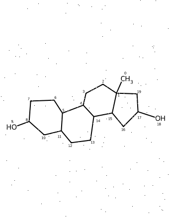 CC12CCC3C4CCC(O)CC4CCC3C1CC(O)C2